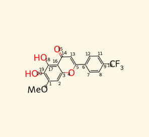 COc1cc2oc(-c3ccc(C(F)(F)F)cc3)cc(=O)c2c(O)c1O